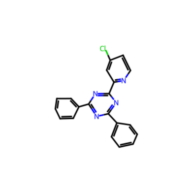 Clc1ccnc(-c2nc(-c3ccccc3)nc(-c3ccccc3)n2)c1